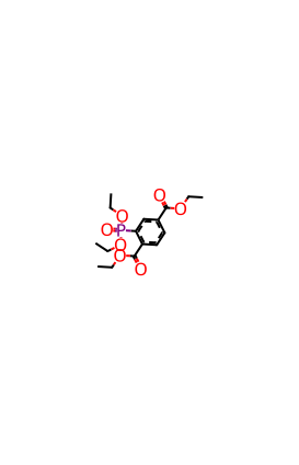 CCOC(=O)c1ccc(C(=O)OCC)c(P(=O)(OCC)OCC)c1